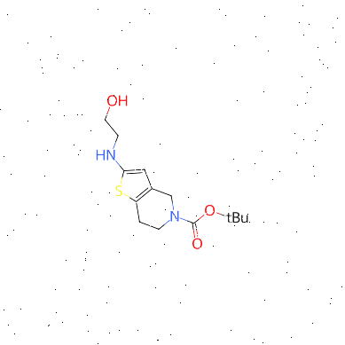 CC(C)(C)OC(=O)N1CCc2sc(NCCO)cc2C1